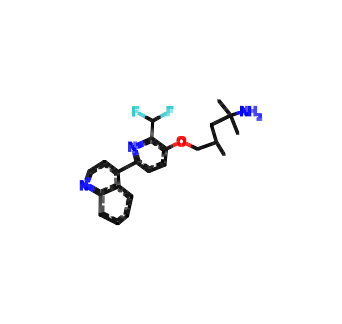 CC(COc1ccc(-c2ccnc3ccccc23)nc1C(F)F)CC(C)(C)N